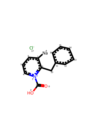 O=C(O)[n+]1ccc[c]([Na])c1Cc1ccccc1.[Cl-]